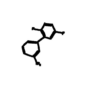 Nc1cccc(-c2cc(F)c[c]c2F)c1